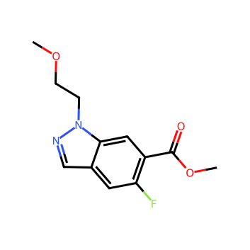 COCCn1ncc2cc(F)c(C(=O)OC)cc21